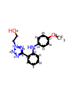 OCCn1nnc(-c2ccccc2Nc2ccc(OC(F)(F)F)cc2)n1